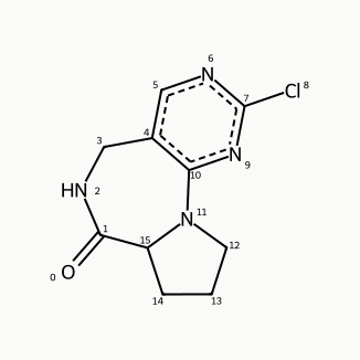 O=C1NCc2cnc(Cl)nc2N2CCCC12